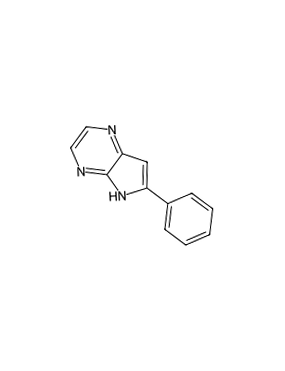 c1ccc(-c2cc3nccnc3[nH]2)cc1